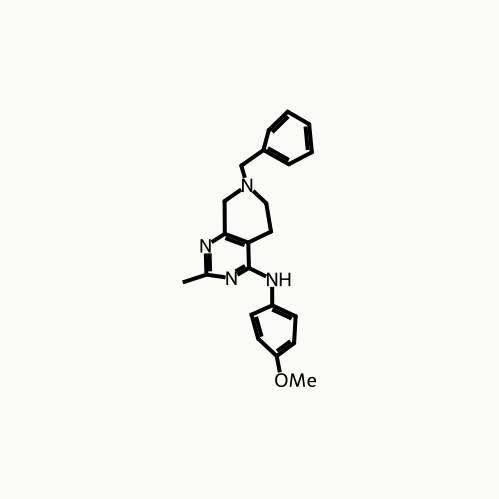 COc1ccc(Nc2nc(C)nc3c2CCN(Cc2ccccc2)C3)cc1